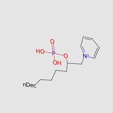 CCCCCCCCCCCCCCC(C[n+]1ccccc1)OP(=O)(O)O